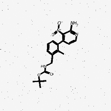 Cc1c(CNC(=O)OC(C)(C)C)cccc1-c1ccnc(N)c1[N+](=O)[O-]